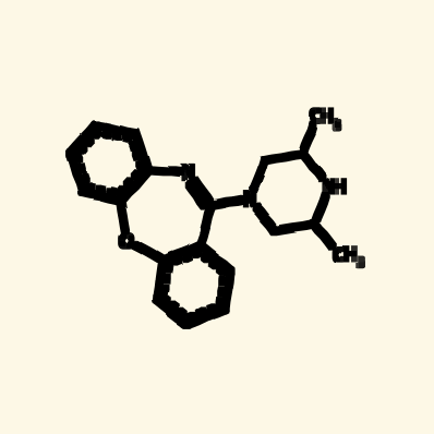 CC1CN(C2=Nc3ccccc3Oc3ccccc32)CC(C)N1